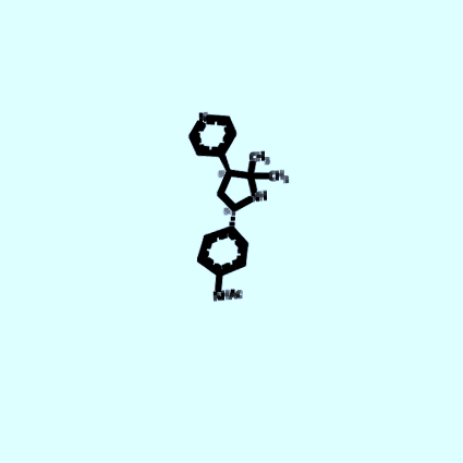 CC(=O)Nc1ccc([C@@H]2C[C@@H](c3ccncc3)C(C)(C)N2)cc1